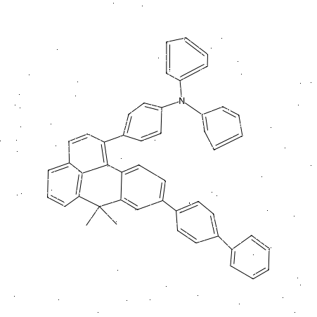 CC1(C)c2cc(-c3ccc(-c4ccccc4)cc3)ccc2-c2c(-c3ccc(N(c4ccccc4)c4ccccc4)cc3)ccc3cccc1c23